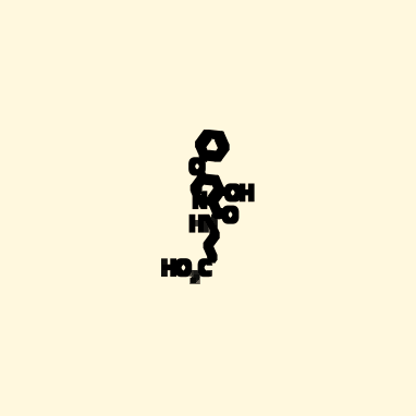 O=C(O)CCCNC(=O)c1ncc(Oc2ccccc2)cc1O